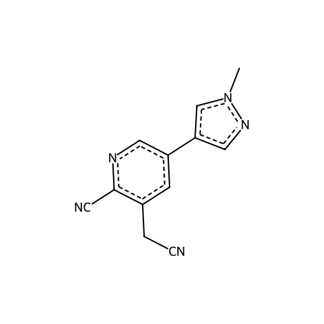 Cn1cc(-c2cnc(C#N)c(CC#N)c2)cn1